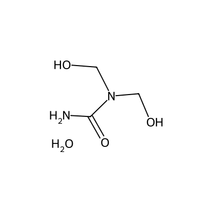 NC(=O)N(CO)CO.O